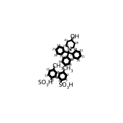 Cc1ccc(S(=O)(=O)O)cc1.Cc1ccc(S(=O)(=O)O)cc1.OC1CCN(C(c2ccccc2)(c2ccccc2)c2ccccc2)CC1